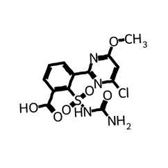 COc1cc(Cl)nc(-c2cccc(C(=O)O)c2S(=O)(=O)NC(N)=O)n1